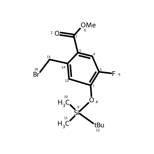 COC(=O)c1cc(F)c(O[Si](C)(C)C(C)(C)C)cc1CBr